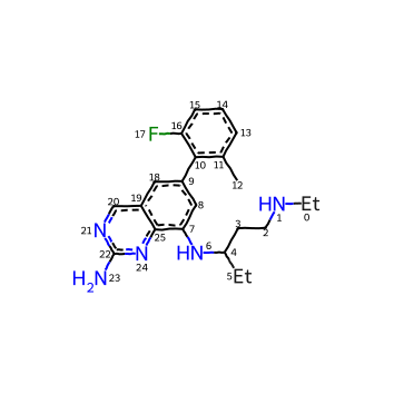 CCNCCC(CC)Nc1cc(-c2c(C)cccc2F)cc2cnc(N)nc12